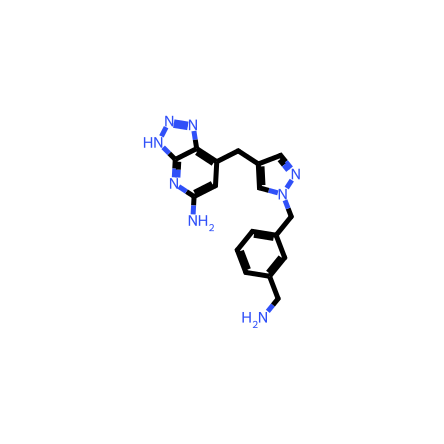 NCc1cccc(Cn2cc(Cc3cc(N)nc4[nH]nnc34)cn2)c1